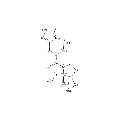 CC(C)(C)OC1CCN(C(=O)[C@H](Cc2c[nH]cn2)NC=O)[C@]1(OC(C)(C)C)C(=O)O